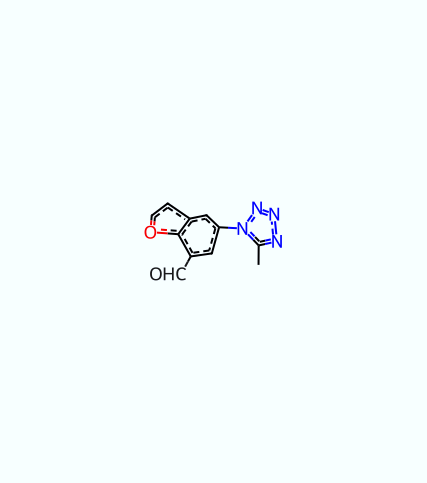 Cc1nnnn1-c1cc(C=O)c2occc2c1